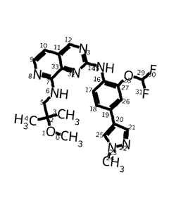 COC(C)(C)CNc1nccc2cnc(Nc3ccc(-c4cnn(C)c4)cc3OC(F)F)nc12